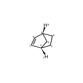 C1=C[C@H]2CC[C@@H]1C2